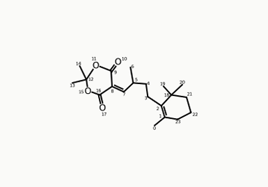 CC1=C(CCC(C)C=C2C(=O)OC(C)(C)OC2=O)C(C)(C)CCC1